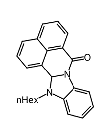 CCCCCCN1c2ccccc2N2C(=O)c3cccc4cccc(c34)C12